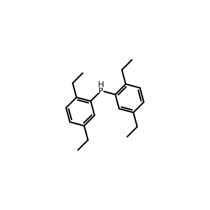 CCc1ccc(CC)c(Pc2cc(CC)ccc2CC)c1